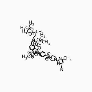 Cc1cc(C#N)nc(N2CCN(S(=O)(=O)c3ccc(NC(=O)c4cc(CN(CCN(C)C(=O)OC(C)(C)C)C(=O)OC(C)(C)C)ccc4N(C)S(C)(=O)=O)cc3)CC2)n1